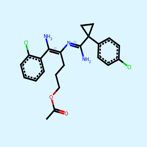 CC(=O)OCCCC(/N=C(\N)C1(c2ccc(Cl)cc2)CC1)=C(/N)c1ccccc1Cl